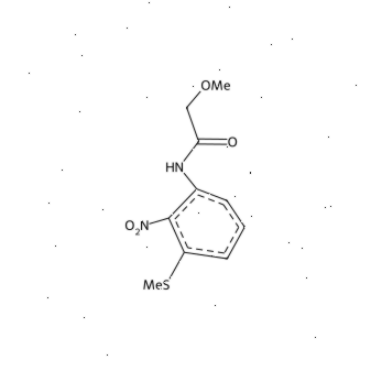 COCC(=O)Nc1cccc(SC)c1[N+](=O)[O-]